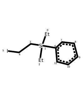 CC[Si](CC)(CCI)c1ccccc1